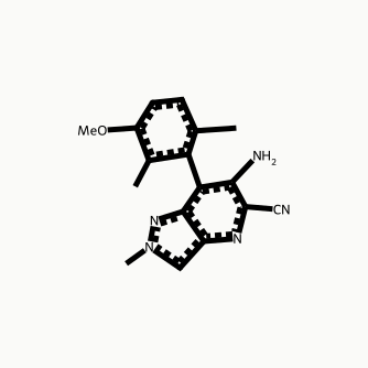 COc1ccc(C)c(-c2c(N)c(C#N)nc3cn(C)nc23)c1C